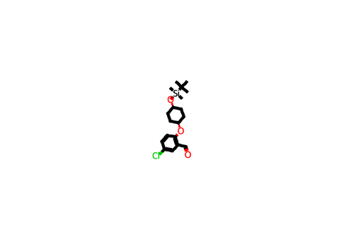 CC(C)(C)[Si](C)(C)O[C@H]1CC[C@@H](Oc2ccc(Cl)cc2C=O)CC1